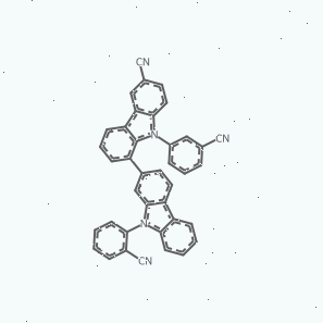 N#Cc1cccc(-n2c3ccc(C#N)cc3c3cccc(-c4ccc5c6ccccc6n(-c6ccccc6C#N)c5c4)c32)c1